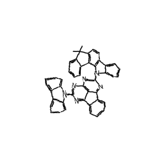 CC1(C)c2ccccc2-c2c1ccc1c3ccccc3n(-c3nc4c5c(nc(-n6c7ccccc7c7ccccc76)nc5n3)-c3ccccc3-4)c21